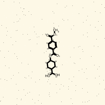 COC(=O)c1ccc(C(=O)OC2CCC(C(O)O)CC2)cc1